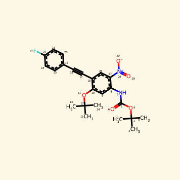 CC(C)(C)OC(=O)Nc1cc(OC(C)(C)C)c(C#Cc2ccc(F)cc2)cc1[N+](=O)[O-]